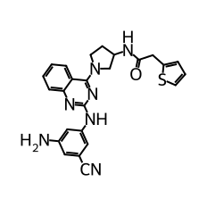 N#Cc1cc(N)cc(Nc2nc(N3CCC(NC(=O)Cc4cccs4)C3)c3ccccc3n2)c1